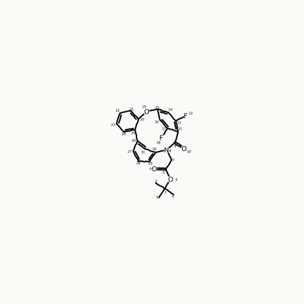 CC(C)(C)OC(=O)CN1C(=O)c2c(F)cc(cc2F)Oc2ccccc2-c2cccc1c2